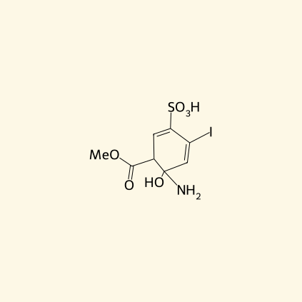 COC(=O)C1C=C(S(=O)(=O)O)C(I)=CC1(N)O